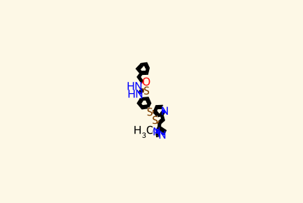 Cn1cncc1-c1cc2nccc(Sc3ccc(NC(=S)NC(=O)Cc4ccccc4)cc3)c2s1